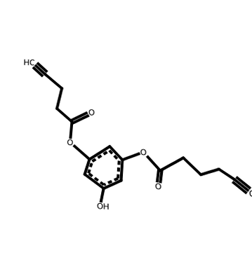 C#CCCCC(=O)Oc1cc(O)cc(OC(=O)CCC#C)c1